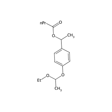 CCCC(=O)OC(C)c1ccc(OC(C)OCC)cc1